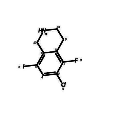 Fc1c(Cl)cc(I)c2c1CCNC2